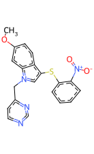 COc1ccc2c(Sc3ccccc3[N+](=O)[O-])cn(Cc3ccncn3)c2c1